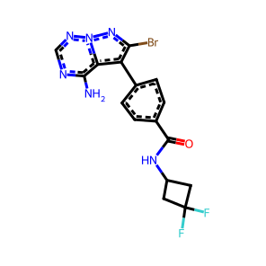 Nc1ncnn2nc(Br)c(-c3ccc(C(=O)NC4CC(F)(F)C4)cc3)c12